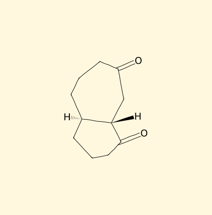 O=C1CCC[C@@H]2CCCC(=O)[C@H]2C1